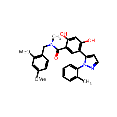 COc1ccc(CN(C)C(=O)c2cc(-c3ccnn3-c3ccccc3C)c(O)cc2O)c(OC)c1